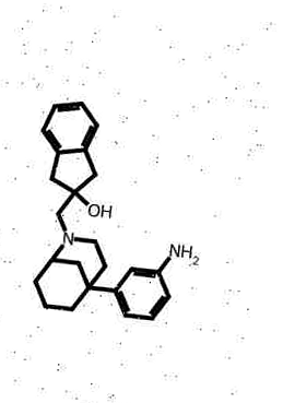 Nc1cccc(C23CCCC(C2)N(CC2(O)Cc4ccccc4C2)CC3)c1